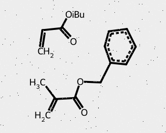 C=C(C)C(=O)OCc1ccccc1.C=CC(=O)OCC(C)C